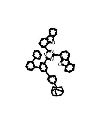 c1ccc(-c2ccccc2-c2cc(-c3ccc(C45CC6CC(CC(C6)C4)C5)cc3)cc(-c3nc(-c4cccc5c4oc4ccccc45)nc(-c4cccc5c4oc4ccccc45)n3)c2)cc1